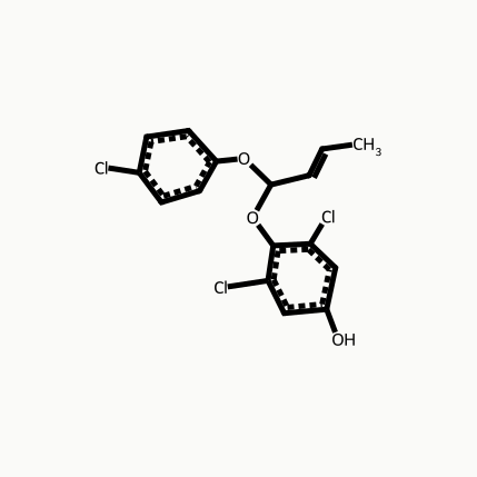 C/C=C/C(Oc1ccc(Cl)cc1)Oc1c(Cl)cc(O)cc1Cl